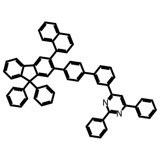 c1ccc(-c2cc(-c3cccc(-c4ccc(-c5cc6c(cc5-c5cccc7ccccc57)-c5ccccc5C6(c5ccccc5)c5ccccc5)cc4)c3)nc(-c3ccccc3)n2)cc1